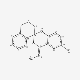 N#C/N=C1\CC2(CCCc3ccccc32)Oc2ccc(Br)cc21